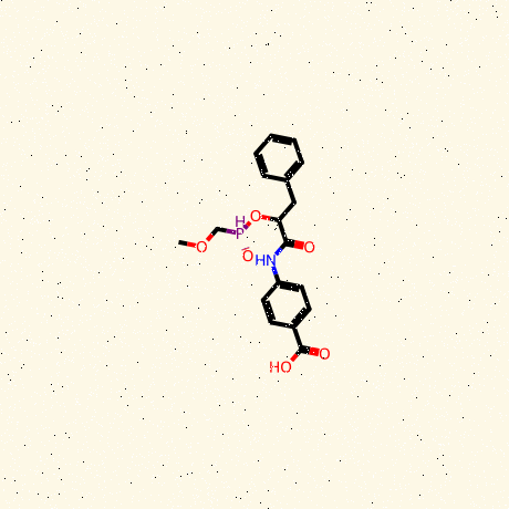 COC[PH](=O)OC(Cc1ccccc1)C(=O)Nc1ccc(C(=O)O)cc1